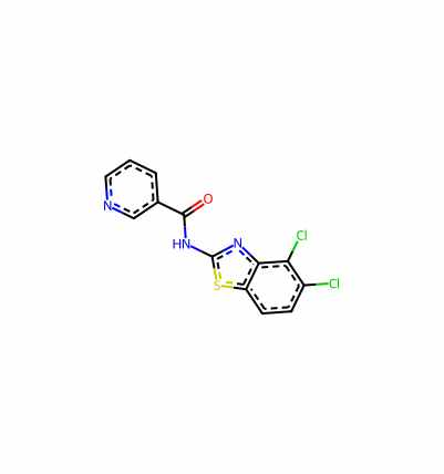 O=C(Nc1nc2c(Cl)c(Cl)ccc2s1)c1cccnc1